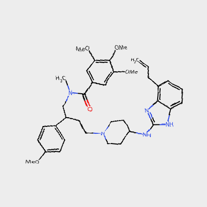 C=CCc1cccc2[nH]c(NC3CCN(CCC(CN(C)C(=O)c4cc(OC)c(OC)c(OC)c4)c4ccc(OC)cc4)CC3)nc12